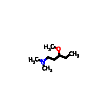 CC[C](CCN(C)C)OC